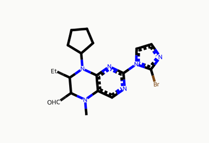 CCC1C(C=O)N(C)c2cnc(-n3ccnc3Br)nc2N1C1CCCC1